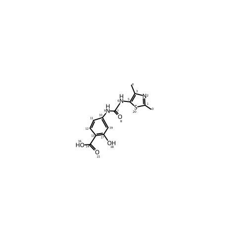 Cc1nc(C)c(NC(=O)Nc2ccc(C(=O)O)c(O)c2)s1